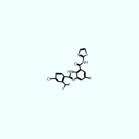 O=C(Nc1nccs1)c1cc(F)cc2nc(-c3ccc(Cl)cc3C(F)F)[nH]c12